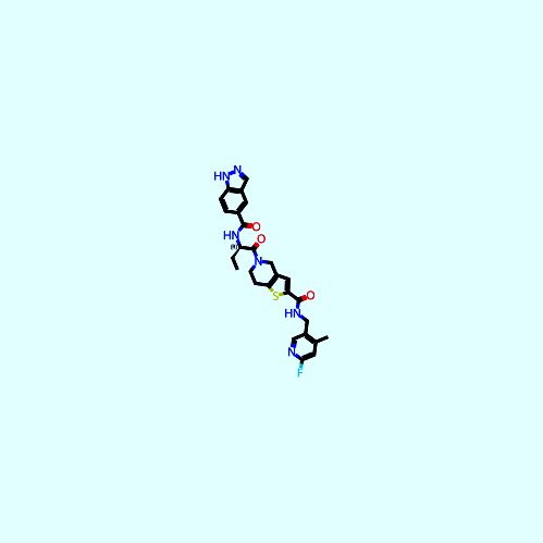 CC[C@@H](NC(=O)c1ccc2[nH]ncc2c1)C(=O)N1CCc2sc(C(=O)NCc3cnc(F)cc3C)cc2C1